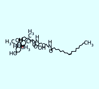 CCCCCCCC/C=C\CCCCCCCC(=O)NCCOCC(NC(=O)CC[C@@H](C)C1CC[C@H]2[C@@H]3[C@H](O)[C@H](CC)[C@@H]4C[C@H](O)CC[C@]4(C)[C@H]3CC[C@]12C)C(=O)O